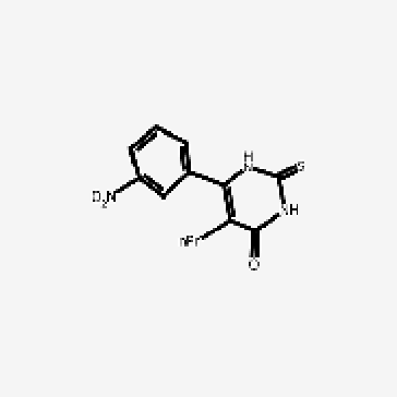 CCCc1c(-c2cccc([N+](=O)[O-])c2)[nH]c(=S)[nH]c1=O